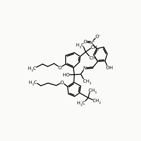 CCCCOc1ccc(C(C)(C)C)cc1C(O)(c1cc(C(C)(C)C)ccc1OCCCC)C(C)N=Cc1cc([N+](=O)[O-])ccc1O